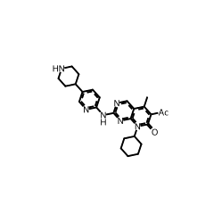 CC(=O)c1c(C)c2cnc(Nc3ccc(C4CCNCC4)cn3)nc2n(C2CCCCC2)c1=O